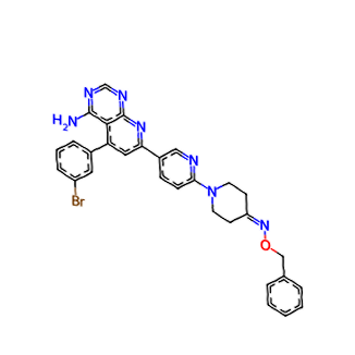 Nc1ncnc2nc(-c3ccc(N4CCC(=NOCc5ccccc5)CC4)nc3)cc(-c3cccc(Br)c3)c12